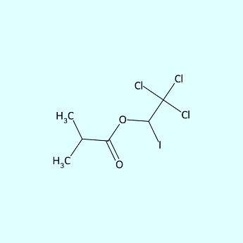 CC(C)C(=O)OC(I)C(Cl)(Cl)Cl